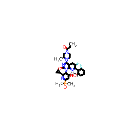 C=CC(=O)N1CCN(c2nc(=O)n(-c3c(C)cc(P(C)(C)=O)nc3C3CC3)c3nc(-c4c(O)cccc4F)c(F)cc23)[C@@H](C)C1